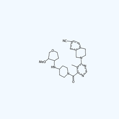 COC1COCCC1NC1CCN(C(=O)c2ncnc(N3CCc4ccc(C#N)cc4C3)c2C)CC1